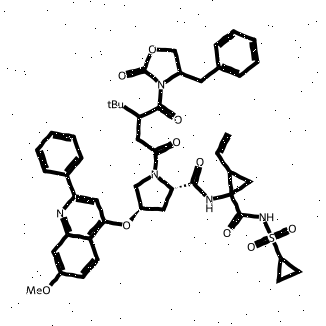 C=CC1CC1(NC(=O)[C@@H]1C[C@@H](Oc2cc(-c3ccccc3)nc3cc(OC)ccc23)CN1C(=O)CC(C(=O)N1C(=O)OCC1Cc1ccccc1)C(C)(C)C)C(=O)NS(=O)(=O)C1CC1